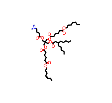 CC/C=C\CCCOC(=O)CCCCC(=O)OCC(COC(=O)CCCCC(=O)OCCC/C=C\CC)(COC(=O)CCCN(C)C)COC(=O)CC(CCCCC)CCCCC